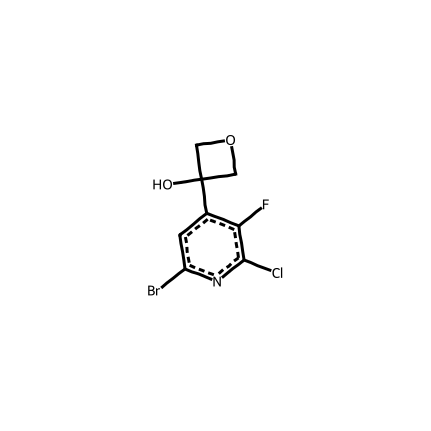 OC1(c2cc(Br)nc(Cl)c2F)COC1